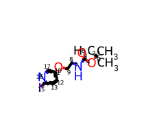 CC(C)(C)OC(=O)NCCOc1ccc(I)nc1